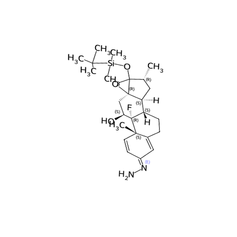 C[C@@H]1C[C@H]2[C@@H]3CCC4=C/C(=N/N)C=C[C@]4(C)[C@@]3(F)[C@@H](O)C[C@@]23OC13O[Si](C)(C)C(C)(C)C